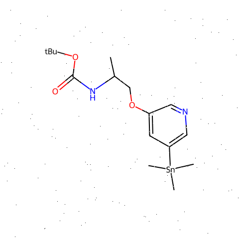 CC(COc1cnc[c]([Sn]([CH3])([CH3])[CH3])c1)NC(=O)OC(C)(C)C